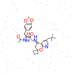 CC(=O)N[C@@H](Cc1ccc2c(c1)OCO2)[C@@H](O)CN[C@H]1CC2(CCC2)Oc2ncc(CC(C)(C)C)cc21